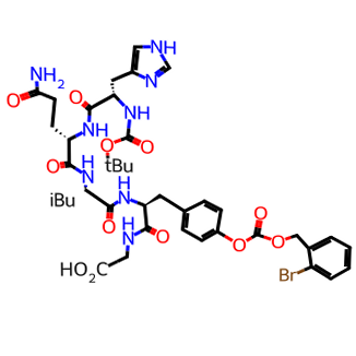 CC[C@H](C)[C@H](NC(=O)[C@H](CCC(N)=O)NC(=O)[C@H](Cc1c[nH]cn1)NC(=O)OC(C)(C)C)C(=O)N[C@@H](Cc1ccc(OC(=O)OCc2ccccc2Br)cc1)C(=O)NCC(=O)O